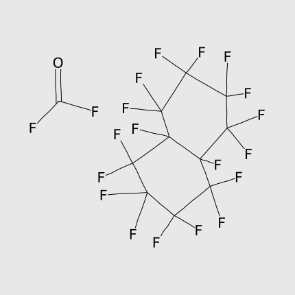 FC1(F)C(F)(F)C(F)(F)C2(F)C(F)(F)C(F)(F)C(F)(F)C(F)(F)C2(F)C1(F)F.O=C(F)F